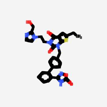 CCc1cc2c(=O)n(CCn3ccnc3CO)c(=O)n(Cc3ccc(-c4ccccc4-c4noc(=O)[nH]4)cc3)c2s1